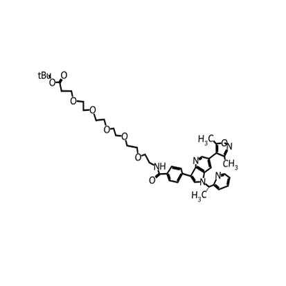 Cc1noc(C)c1-c1cnc2c(-c3ccc(C(=O)NCCOCCOCCOCCOCCOCCC(=O)OC(C)(C)C)cc3)cn([C@@H](C)c3ccccn3)c2c1